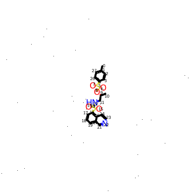 Cc1ccc(S(=O)(=O)OC(C)CNS(=O)(=O)c2cccc3cnccc23)cc1